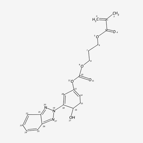 C=C(C)C(=O)OCCCOC(=O)OC1=CCC(O)C(n2nc3ccccc3n2)=C1